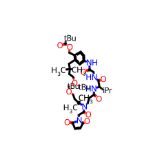 CC(C)C(NC(=O)CCN(C(=O)CN1C(=O)C=CC1=O)C(C)(C)CCOC(C)(C)C)C(=O)NCC(=O)Nc1ccc(COC(=O)C(C)(C)C)c(CC(C)(C)CCOC(C)(C)C)c1